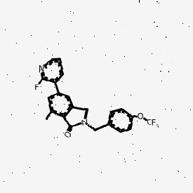 Cc1cc(-c2cccnc2F)cc2c1C(=O)N(Cc1ccc(OC(F)(F)F)cc1)C2